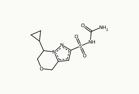 NC(=O)NS(=O)(=O)c1cc2n(n1)C(C1CC1)COC2